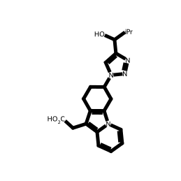 CC(C)C(O)c1cn(C2CCc3c(CC(=O)O)c4ccccn4c3C2)nn1